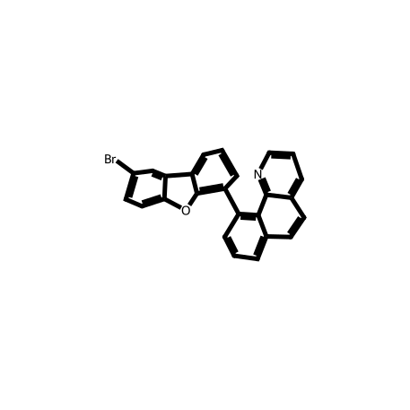 Brc1ccc2oc3c(-c4cccc5ccc6cccnc6c45)cccc3c2c1